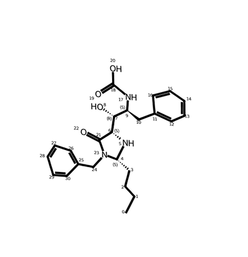 CCCC[C@H]1N[C@@H]([C@H](O)[C@H](Cc2ccccc2)NC(=O)O)C(=O)N1Cc1ccccc1